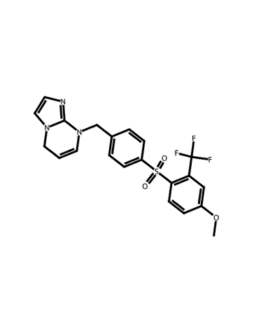 COc1ccc(S(=O)(=O)c2ccc(CN3C=CCn4ccnc43)cc2)c(C(F)(F)F)c1